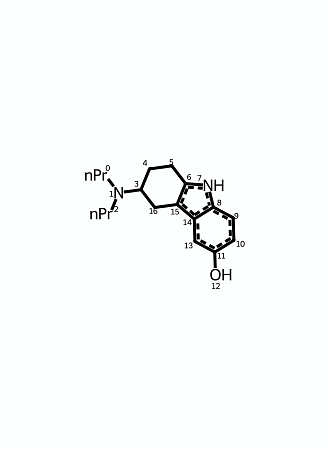 CCCN(CCC)C1CCc2[nH]c3ccc(O)cc3c2C1